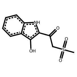 CS(=O)(=O)CC(=O)c1[nH]c2ccccc2c1O